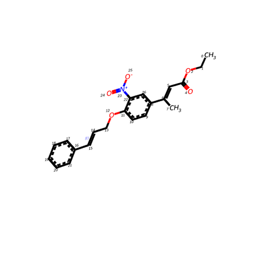 CCOC(=O)C=C(C)c1ccc(OC/C=C/c2ccccc2)c([N+](=O)[O-])c1